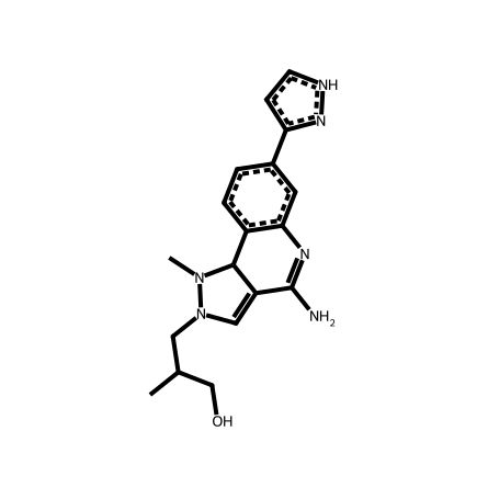 CC(CO)CN1C=C2C(N)=Nc3cc(-c4cc[nH]n4)ccc3C2N1C